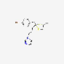 CCC1CSC(CCCn2ccnc2)(Cc2ccc(Br)cc2)S1